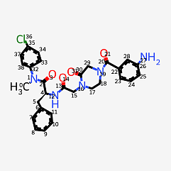 CN(C(=O)[C@H](Cc1ccccc1)NC(=O)CN1CCN(C(=O)c2cccc(N)c2)CC1=O)c1ccc(Cl)cc1